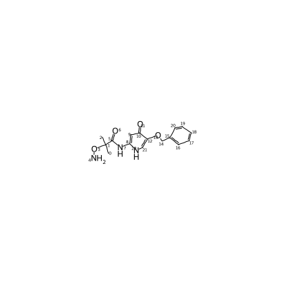 CC(C)(ON)C(=O)Nc1cc(=O)c(OCc2ccccc2)c[nH]1